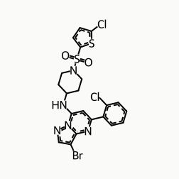 O=S(=O)(c1ccc(Cl)s1)N1CCC(Nc2cc(-c3ccccc3Cl)nc3c(Br)cnn23)CC1